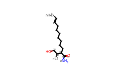 CCCCCCC=CCCCCCCCC(C(N)=O)C(CC)CO